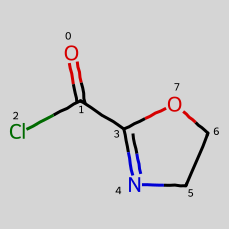 O=C(Cl)C1=NCCO1